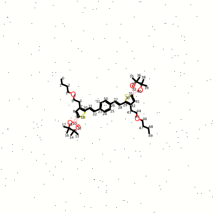 CCCCOCCc1cc(B2OC(C)(C)C(C)(C)O2)sc1/C=C/c1ccc(/C=C/c2sc(B3OC(C)(C)C(C)(C)O3)cc2CCOCCCC)cc1